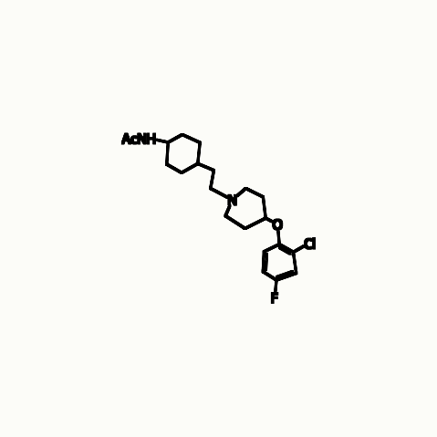 CC(=O)NC1CCC(CCN2CCC(Oc3ccc(F)cc3Cl)CC2)CC1